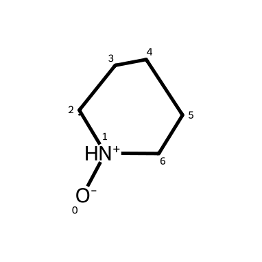 [O-][NH+]1[CH]CCCC1